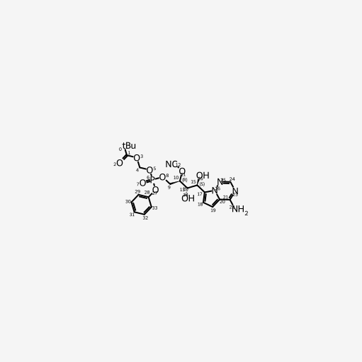 CC(C)(C)C(=O)OCOP(=O)(OC[C@@H](OC#N)[C@@H](O)[C@@H](O)c1ccc2c(N)ncnn12)Oc1ccccc1